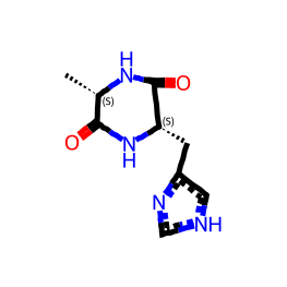 C[C@@H]1NC(=O)[C@H](Cc2c[nH]cn2)NC1=O